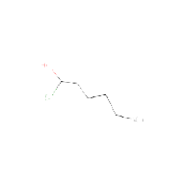 CCCCCCCCC(O)Br